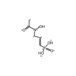 CC(=O)N(O)C/C=C/P(=O)(O)O